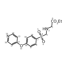 CCOC(=O)CNCS(=O)(=O)c1ccc(Oc2ccncc2)cc1